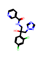 O=C(NCC(O)(Cn1cncn1)c1ccc(Cl)cc1Cl)c1cccnc1